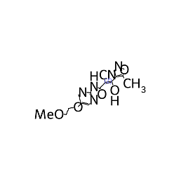 COCCOc1cnc(NC(=O)/C(C#N)=C(\O)c2cnoc2C)nc1